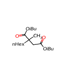 CCCCCCC(C)(CC(=O)OCC(C)C)C(=O)OCC(C)C